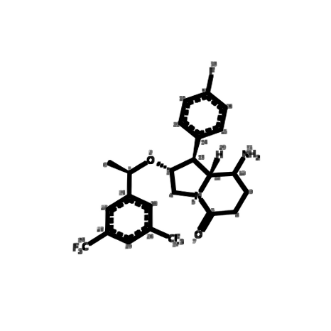 C[C@@H](O[C@H]1CN2C(=O)CCC(N)[C@H]2[C@@H]1c1ccc(F)cc1)c1cc(C(F)(F)F)cc(C(F)(F)F)c1